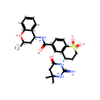 CC1(C)CC(=O)N([C@H]2CCS(=O)(=O)c3ccc(C(=O)N[C@H]4CC(C(F)(F)F)Oc5ccccc54)cc32)C(=N)N1